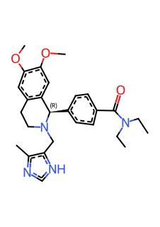 CCN(CC)C(=O)c1ccc([C@@H]2c3cc(OC)c(OC)cc3CCN2Cc2[nH]cnc2C)cc1